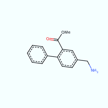 COC(=O)c1cc(CN)ccc1-c1ccccc1